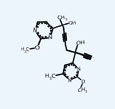 [C]#CC(O)(CC#CC(C)(O)c1ccnc(OC)n1)c1cc(C)nc(OC)n1